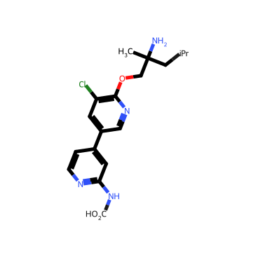 CC(C)CC(C)(N)COc1ncc(-c2ccnc(NC(=O)O)c2)cc1Cl